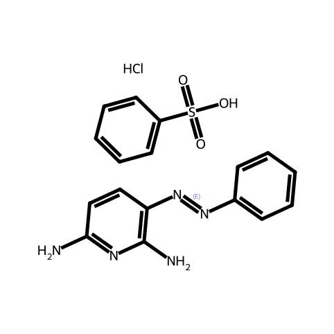 Cl.Nc1ccc(/N=N/c2ccccc2)c(N)n1.O=S(=O)(O)c1ccccc1